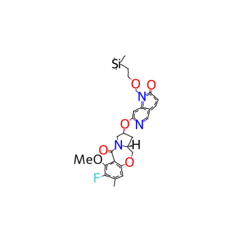 COc1c(F)c(C)cc2c1C(=O)N1C[C@@H](Oc3cc4c(ccc(=O)n4COCC[Si](C)(C)C)cn3)C[C@@H]1CO2